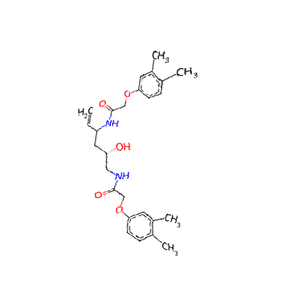 C=CC(C[C@H](O)CNC(=O)COc1ccc(C)c(C)c1)NC(=O)COc1ccc(C)c(C)c1